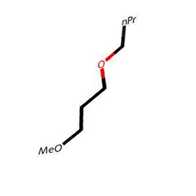 [CH2]CCCOCCCOC